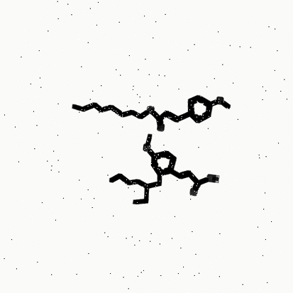 CCCCC(CC)Cc1cc(OC)ccc1C=CC(=O)O.CCCCCCCCOC(=O)C=Cc1ccc(OC)cc1